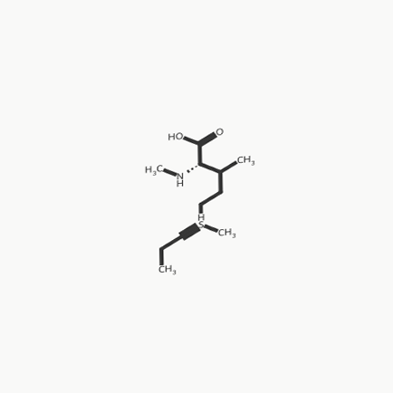 CCC#[SH](C)CCC(C)[C@H](NC)C(=O)O